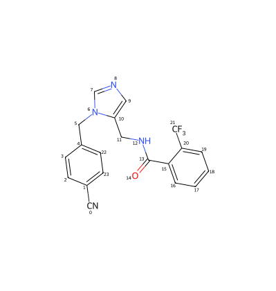 N#Cc1ccc(Cn2cncc2CNC(=O)c2ccccc2C(F)(F)F)cc1